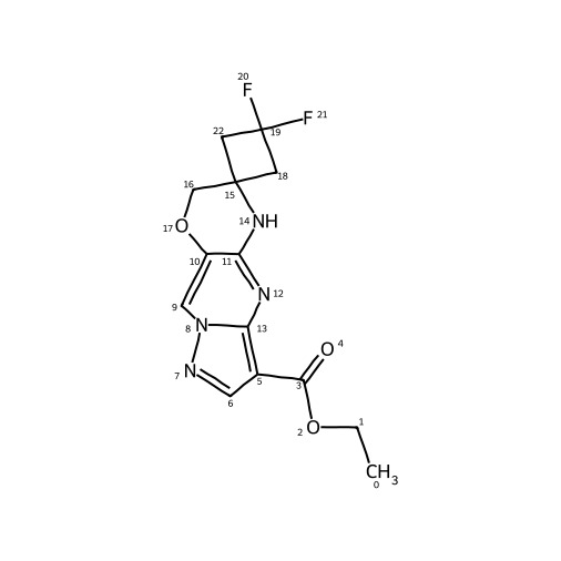 CCOC(=O)c1cnn2cc3c(nc12)NC1(CO3)CC(F)(F)C1